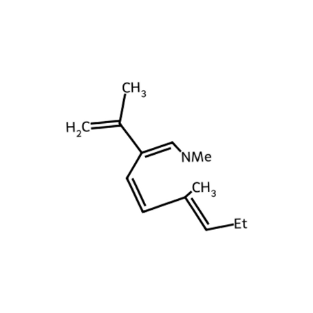 C=C(C)C(/C=C\C(C)=C\CC)=C/NC